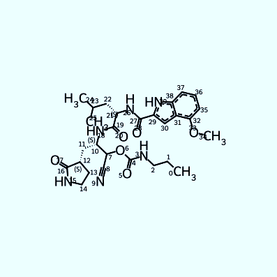 CCCNC(=O)OC(C#N)[C@H](C[C@@H]1CCNC1=O)NC(=O)[C@H](CC(C)C)NC(=O)c1cc2c(OC)cccc2[nH]1